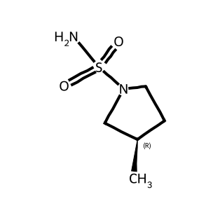 C[C@@H]1CCN(S(N)(=O)=O)C1